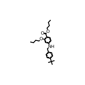 CCCCOC(=O)c1ccc(NCc2ccc(C(C)(C)C)cc2)cc1OCCCC